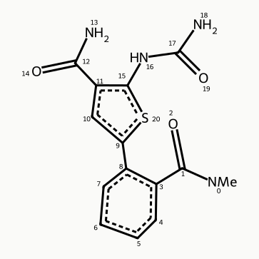 CNC(=O)c1ccccc1-c1cc(C(N)=O)c(NC(N)=O)s1